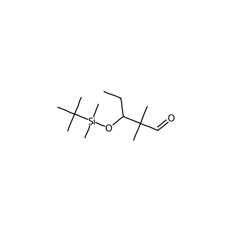 CCC(O[Si](C)(C)C(C)(C)C)C(C)(C)C=O